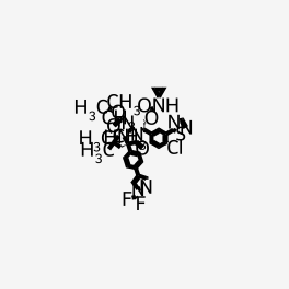 CC(C)(C)C[C@]1(c2ccc(-c3cnn(C(F)F)c3)cc2)N/C(=N\C(=O)OC(C)(C)C)N([C@H](COC(=O)NC2CC2)c2ccc(Cl)c(-c3ncns3)c2)C1=O